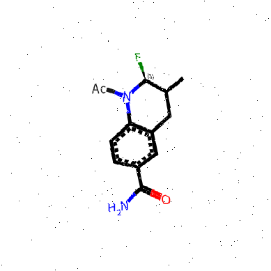 CC(=O)N1c2ccc(C(N)=O)cc2CC(C)[C@@H]1F